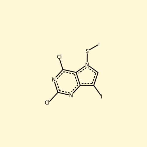 Clc1nc(Cl)c2c(n1)c(I)cn2SI